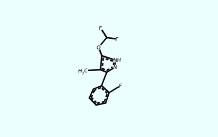 Cc1c(-c2ccccc2F)n[nH]c1OC(F)F